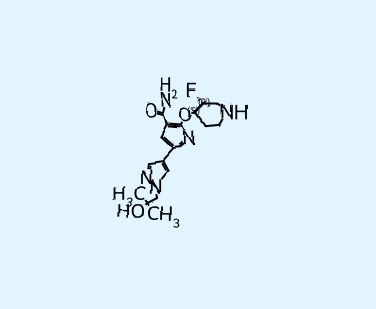 CC(C)(O)Cn1cc(-c2cnc(O[C@H]3CCNC[C@H]3F)c(C(N)=O)c2)cn1